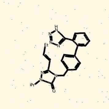 CC/C=C/c1nn(C(C)C)c(=O)n1Cc1ccc(-c2ccccc2-c2nnn[nH]2)cc1